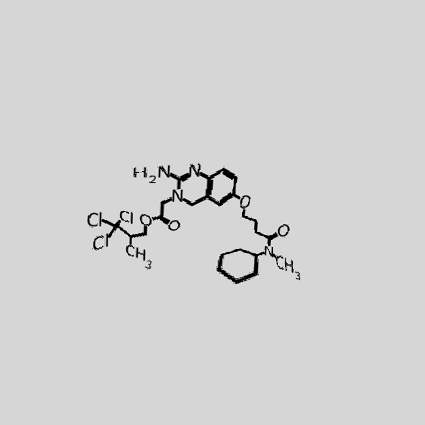 CC(COC(=O)CN1Cc2cc(OCCCC(=O)N(C)C3CCCCC3)ccc2N=C1N)C(Cl)(Cl)Cl